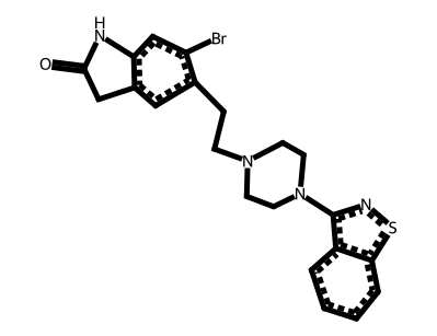 O=C1Cc2cc(CCN3CCN(c4nsc5ccccc45)CC3)c(Br)cc2N1